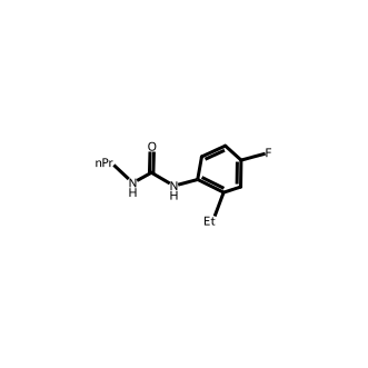 CCCNC(=O)Nc1ccc(F)cc1CC